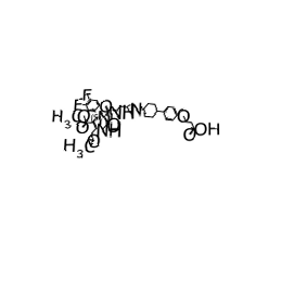 COCC1=C(C(=O)OC)[C@H](c2ccc(F)c(F)c2)N(C(=O)NCC2CN(C3CCC(c4ccc(OCCC(=O)O)cc4)CC3)C2)C(=O)N1